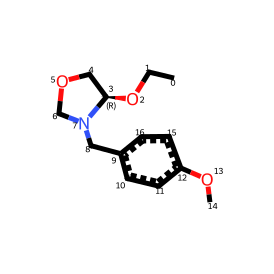 CCO[C@@H]1COCN1Cc1ccc(OC)cc1